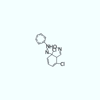 O/N=C\C1C(Cl)=CC=CC1(Cl)/N=N/c1ccccc1